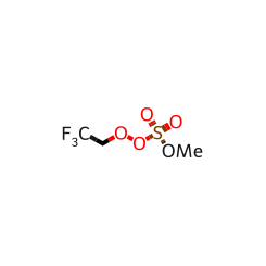 COS(=O)(=O)OOCC(F)(F)F